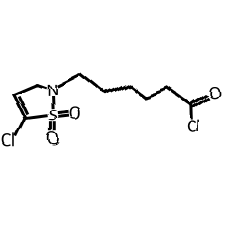 O=C(Cl)CCCCCN1CC=C(Cl)S1(=O)=O